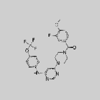 COc1ccc(C(=O)N2CCN(c3cc(Nc4ccc(OC(F)(F)F)cc4)ncn3)CC2)cc1F